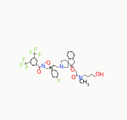 CN(CCCCO)C(=O)CO[C@H]1Cc2ccccc2C12CCN(CC[C@@]1(c3ccc(F)cc3)CN(C(=O)c3cc(C(F)(F)F)cc(C(F)(F)F)c3)CO1)CC2